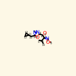 CO/N=C(/C(=O)c1nnc(CC2CC2)o1)C(C)C